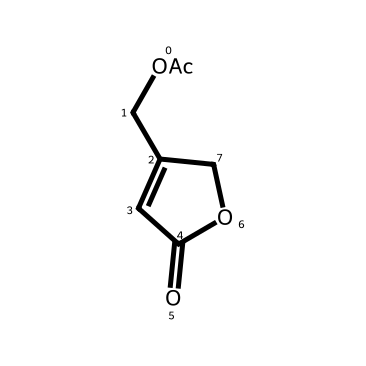 CC(=O)OCC1=CC(=O)OC1